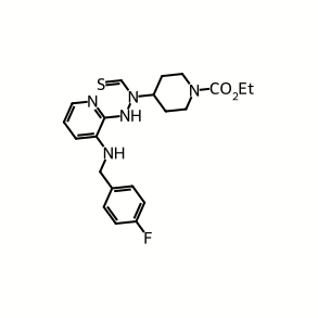 CCOC(=O)N1CCC(N(C=S)Nc2ncccc2NCc2ccc(F)cc2)CC1